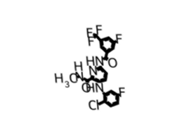 CNC(=O)c1nc(NC(=O)c2cc(F)cc(C(F)(F)F)c2)ccc1Nc1cc(F)ccc1Cl